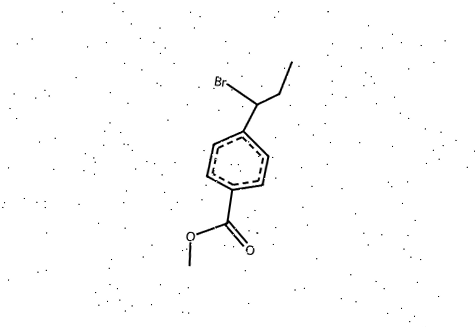 CCC(Br)c1ccc(C(=O)OC)cc1